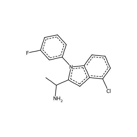 CC(N)c1cc2c(Cl)cccc2n1-c1cccc(F)c1